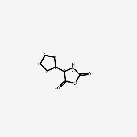 O=C1NC(C2CCCC2)C(=O)O1